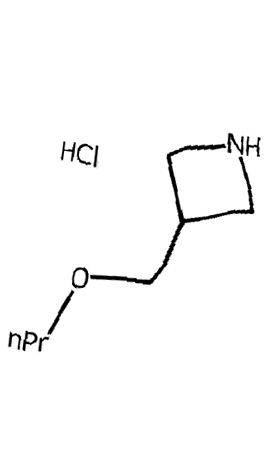 CCCOCC1CNC1.Cl